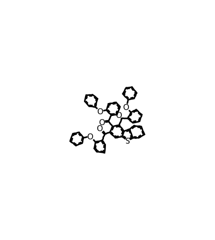 O=C(c1ccccc1Oc1ccccc1)c1cc2sc3ccccc3c2c(C(=O)c2ccccc2Oc2ccccc2)c1C(=O)c1ccccc1Oc1ccccc1